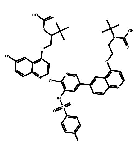 CC(C)(C)C(COc1ccnc2ccc(Br)cc12)NC(=O)O.CC(C)(C)N(CCOc1ccnc2ccc(-c3cnc(Cl)c(NS(=O)(=O)c4ccc(F)cc4)c3)cc12)C(=O)O